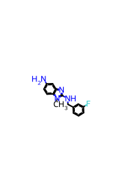 Cn1c(NCc2cccc(F)c2)nc2cc(N)ccc21